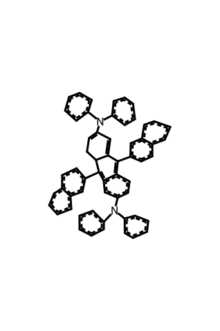 C1=C2C(c3ccc4ccccc4c3)=c3ccc(N(c4ccccc4)c4ccccc4)cc3=C(c3ccc4ccccc4c3)C2CC=C1N(c1ccccc1)c1ccccc1